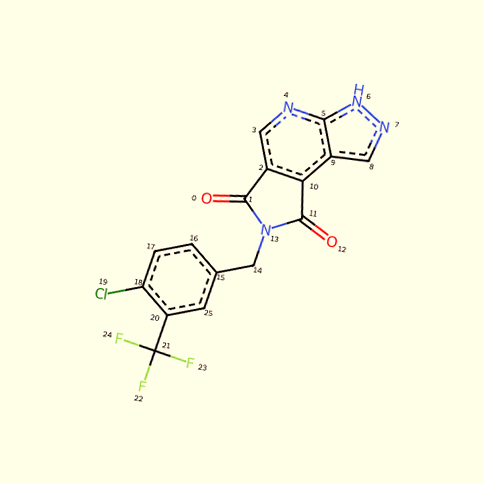 O=C1c2cnc3[nH]ncc3c2C(=O)N1Cc1ccc(Cl)c(C(F)(F)F)c1